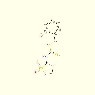 O=S1(=O)CCCC1NC(=S)SCc1ccccc1Br